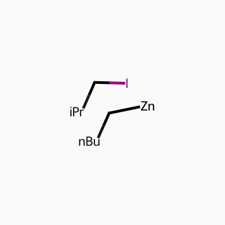 CC(C)CI.CCCC[CH2][Zn]